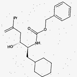 C=C(C[C@@H](O)[C@H](CC1CCCCC1)NC(=O)OCc1ccccc1)C(C)C